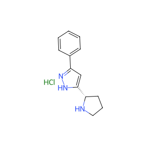 Cl.c1ccc(-c2cc([C@@H]3CCCN3)[nH]n2)cc1